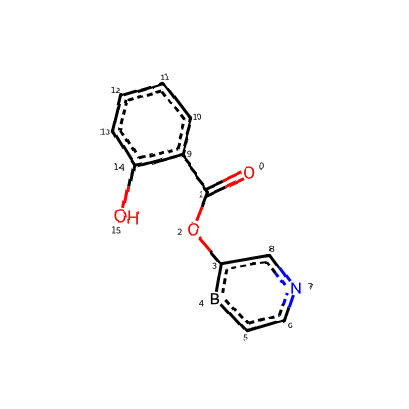 O=C(Oc1bccnc1)c1ccccc1O